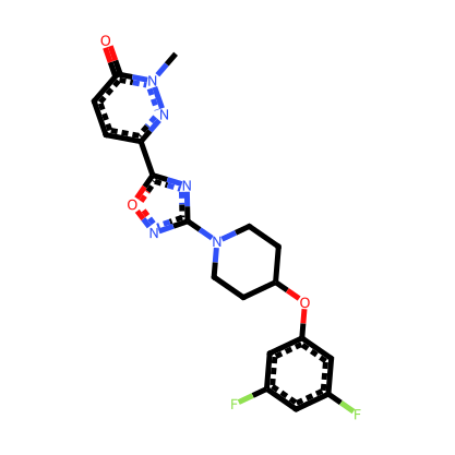 Cn1nc(-c2nc(N3CCC(Oc4cc(F)cc(F)c4)CC3)no2)ccc1=O